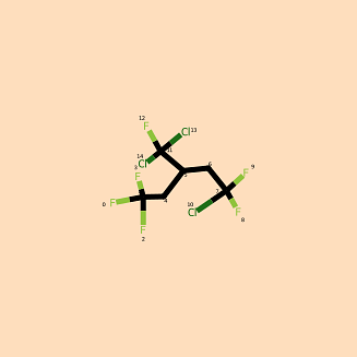 FC(F)(F)CC(CC(F)(F)Cl)C(F)(Cl)Cl